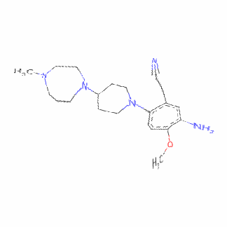 COc1cc(N2CCC(N3CCN(C)CC3)CC2)c(C#N)cc1N